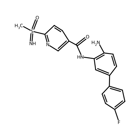 CS(=N)(=O)c1ccc(C(=O)Nc2cc(-c3ccc(F)cc3)ccc2N)cn1